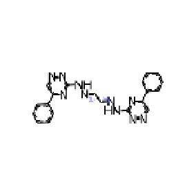 C(/C=N/Nc1nncc(-c2ccccc2)n1)=N\Nc1nncc(-c2ccccc2)n1